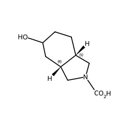 O=C(O)N1C[C@H]2CCC(O)C[C@H]2C1